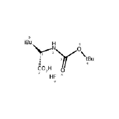 CC[C@H](C)[C@H](NC(=O)OC(C)(C)C)C(=O)O.F